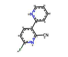 N#Cc1nc(F)ccc1-c1ccccn1